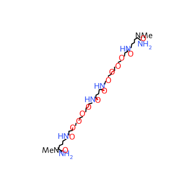 CN[C@@H](CCCCNC(=O)CCOCCOCCOCCOCCNC(=O)CCCC(=O)NCCOCCOCCOCCOCCC(=O)NCCCC[C@H](NC)C(N)=O)C(N)=O